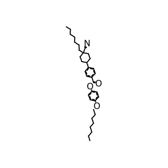 CCCCCCCCOc1ccc(OC(=O)c2ccc(C3CCC(C#N)(CCCCCCC)CC3)cc2)cc1